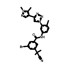 Cc1ccc(NC(=O)c2cc(Br)cc(C(C)(C)C#N)c2)cc1-n1cc(-c2cnn(C)c2C)nn1